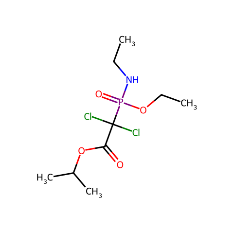 CCNP(=O)(OCC)C(Cl)(Cl)C(=O)OC(C)C